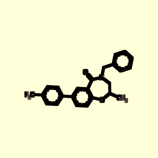 CC1CN(Cc2ccccc2)C(=O)c2cc(-c3ccc(C(F)(F)F)cc3)ccc2O1